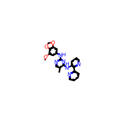 COc1cc(Nc2ncc(C)c(Nc3cccnc3-c3ccccn3)n2)cc2c1OCO2